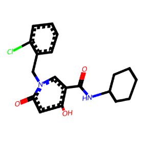 O=C(NC1CCCCC1)c1cn(Cc2ccccc2Cl)c(=O)cc1O